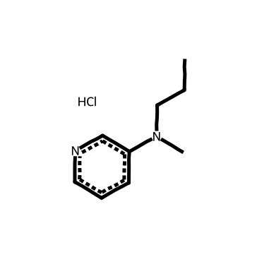 CCCN(C)c1cccnc1.Cl